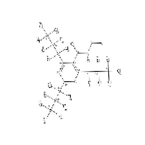 CCCC([O])c1c(C(Cl)(Cl)C(Cl)(Cl)C(Cl)(Cl)Cl)cc(C(Cl)(Cl)C(Cl)(Cl)C(Cl)(Cl)Cl)cc1C(Cl)(Cl)C(Cl)(Cl)C(Cl)(Cl)Cl